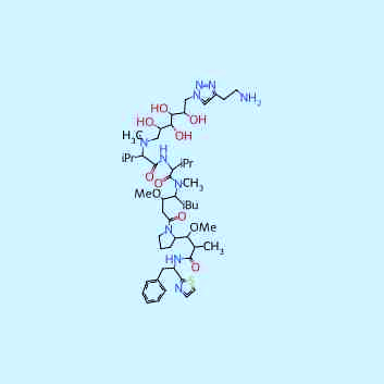 CCC(C)C(C(CC(=O)N1CCCC1C(OC)C(C)C(=O)NC(Cc1ccccc1)c1nccs1)OC)N(C)C(=O)C(NC(=O)C(C(C)C)N(C)CC(O)C(O)C(O)C(O)Cn1cc(CCN)nn1)C(C)C